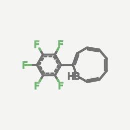 Fc1c(F)c(F)c(C2=CC=CC=CC=CB2)c(F)c1F